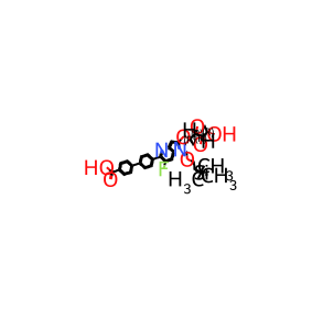 C[Si](C)(C)CCOCn1c(O[C@@H]2CO[C@H]3[C@@H]2OC[C@H]3O)cc2nc(-c3ccc(-c4ccc(C(=O)O)cc4)cc3)c(F)cc21